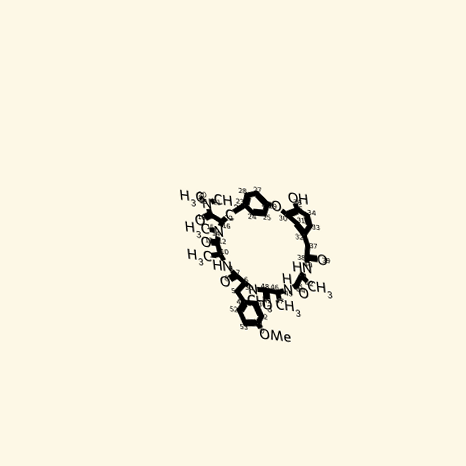 COc1ccc(CC2C(=O)NC(C)C(=O)N(C)C(C(=O)N(C)C)Cc3ccc(cc3)Oc3cc(ccc3O)CC(=O)NC(C)C(=O)NC(C)C(=O)N2C)cc1